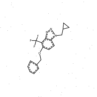 FC(F)(F)c1c(OCc2ccccc2)ccc2c1nnn2CC1CC1